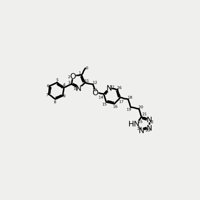 Cc1oc(-c2ccccc2)nc1COc1ccc(CCCc2nnn[nH]2)cn1